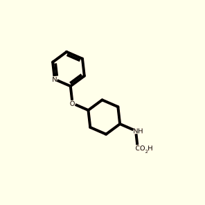 O=C(O)NC1CCC(Oc2ccccn2)CC1